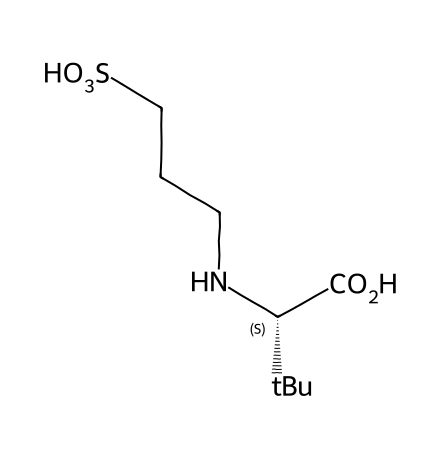 CC(C)(C)[C@H](NCCCS(=O)(=O)O)C(=O)O